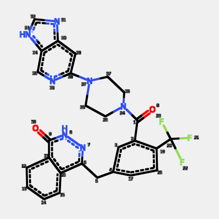 O=C(c1cc(Cc2n[nH]c(=O)c3ccccc23)ccc1C(F)(F)F)N1CCN(c2cc3nc[nH]c3cn2)CC1